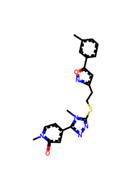 Cc1cccc(-c2cc(CCSc3nnc(-c4ccn(C)c(=O)c4)n3C)no2)c1